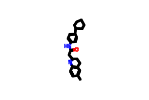 Cc1ccc2c(c1)CCC(CC(=O)Nc1ccc(C3CCCCC3)cc1)=N2